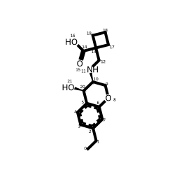 CCc1ccc2c(c1)OC[C@H](NCC1(C(=O)O)CCC1)[C@@H]2O